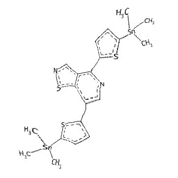 [CH3][Sn]([CH3])([CH3])[c]1ccc(-c2ncc(-c3cc[c]([Sn]([CH3])([CH3])[CH3])s3)c3sncc23)s1